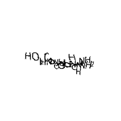 N=C(N)NCC(=O)Nc1ccc2oc(C(=O)Nc3ccc4[nH]c(C(=O)O)cc4c3)cc2c1